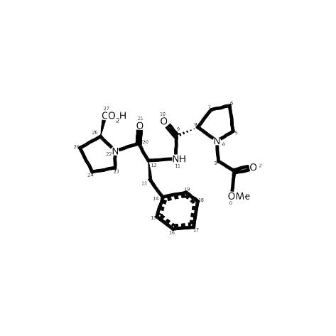 COC(=O)CN1CCC[C@H]1C(=O)N[C@@H](Cc1ccccc1)C(=O)N1CCC[C@H]1C(=O)O